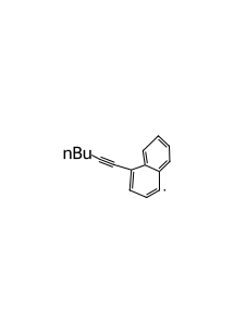 CCCCC#Cc1cc[c]c2ccccc12